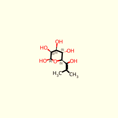 CC(C)=C(O)[C@H]1O[C@@H](O)[C@@H](O)[C@@H](O)[C@@H]1O